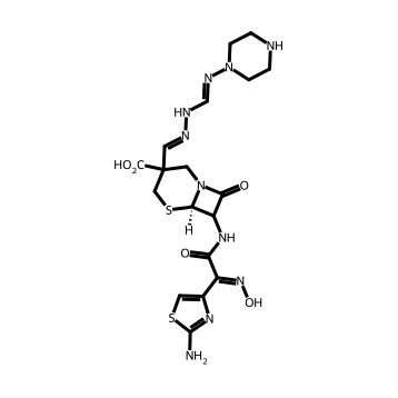 Nc1nc(C(=NO)C(=O)NC2C(=O)N3CC(C=NNC=NN4CCNCC4)(C(=O)O)CS[C@H]23)cs1